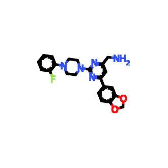 NCc1cc(-c2ccc3c(c2)OCO3)nc(N2CCN(c3ccccc3F)CC2)n1